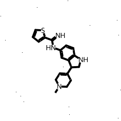 CN1CC=C(C2CNc3ccc(NC(=N)c4cccs4)cc32)CC1